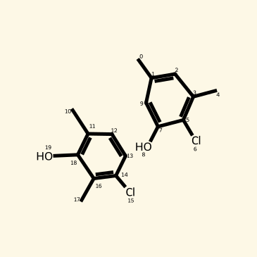 Cc1cc(C)c(Cl)c(O)c1.Cc1ccc(Cl)c(C)c1O